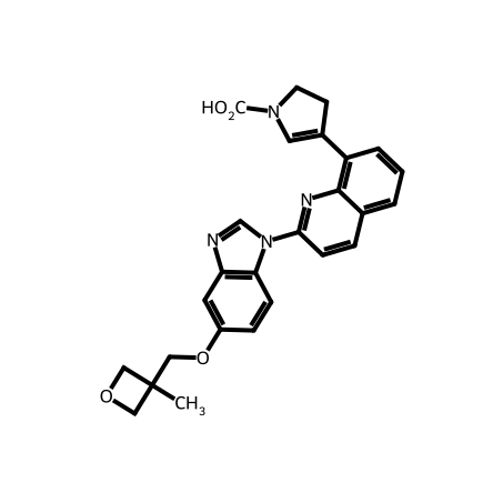 CC1(COc2ccc3c(c2)ncn3-c2ccc3cccc(C4=CN(C(=O)O)CC4)c3n2)COC1